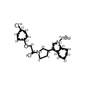 CCCCn1cc(C2CCN(C(=O)COc3ccc(Cl)cc3)C2)c2ccccc21